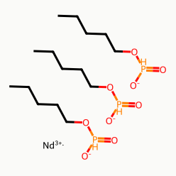 CCCCCO[PH](=O)[O-].CCCCCO[PH](=O)[O-].CCCCCO[PH](=O)[O-].[Nd+3]